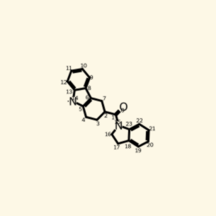 O=C(C1CCC2=C(C1)c1ccccc1[N]2)N1CCc2ccccc21